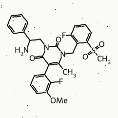 COc1cccc(-c2c(C)n(Cc3c(F)cccc3S(C)(=O)=O)c(=O)n(CC(N)c3ccccc3)c2=O)c1F